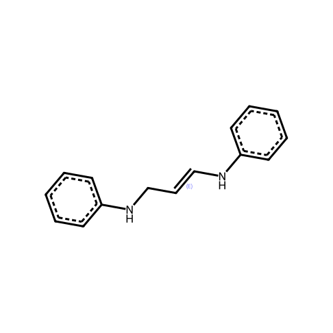 C(=C\Nc1ccccc1)/CNc1ccccc1